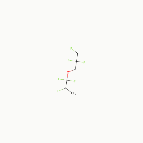 FCC(F)(F)COC(F)(F)C(F)C(F)(F)F